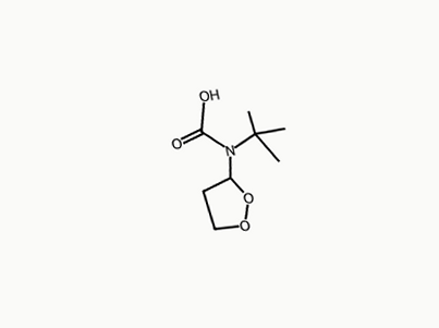 CC(C)(C)N(C(=O)O)C1CCOO1